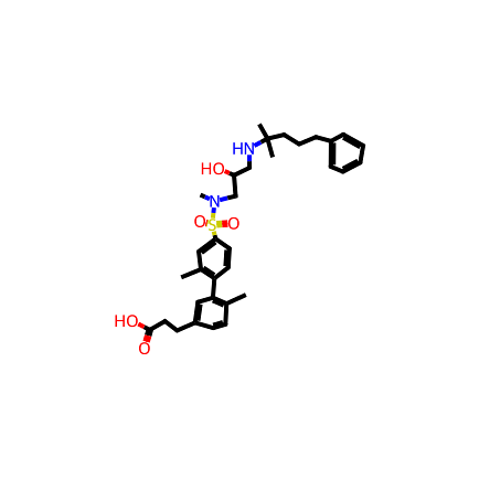 Cc1cc(S(=O)(=O)N(C)CC(O)CNC(C)(C)CCCc2ccccc2)ccc1-c1cc(CCC(=O)O)ccc1C